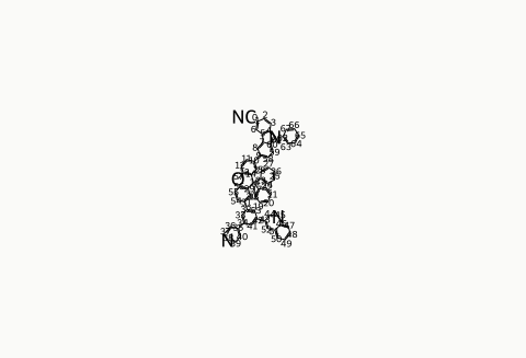 N#Cc1ccc2c(c1)c1cc(-c3ccc4c(c3)C(c3ccccc3)(c3ccccc3)c3cc(-c5cc(-c6ccncc6)cc(-c6cnc7ccccc7c6)c5)ccc3O4)ccc1n2-c1ccccc1